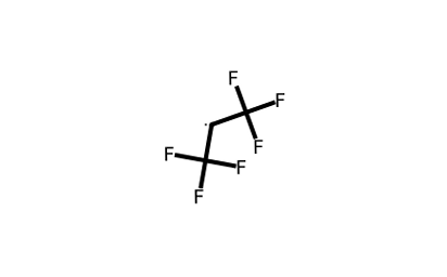 FC(F)(F)[CH]C(F)(F)F